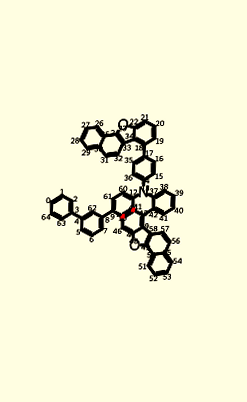 c1ccc(-c2cccc(-c3ccc(N(c4ccc(-c5cccc6oc7c8ccccc8ccc7c56)cc4)c4ccccc4-c4cccc5oc6c7ccccc7ccc6c45)cc3)c2)cc1